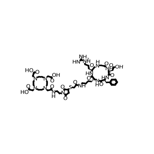 N=C(N)NCCC[C@@H]1NC(=O)[C@@H](CCCCNC(=O)CSC2CC(=O)N(CCNC(=O)CN3CCN(CC(=O)O)CCN(CC(=O)O)CCN(CC(=O)O)CC3)C2=O)NC(=O)[C@H](Cc2ccccc2)NC(=O)[C@H](CC(=O)O)NC(=O)CNC1=O